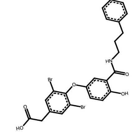 O=C(O)Cc1cc(Br)c(Oc2ccc(O)c(C(=O)NCCCc3ccccc3)c2)c(Br)c1